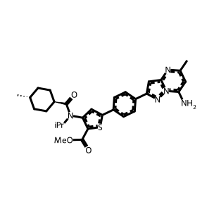 COC(=O)c1sc(-c2ccc(-c3cc4nc(C)cc(N)n4n3)cc2)cc1N(C(=O)[C@H]1CC[C@H](C)CC1)C(C)C